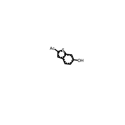 CC(=O)c1cc2ccc(O)cc2s1